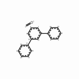 C=O.c1ccc(-c2cccc(-c3ccccc3)c2)cc1